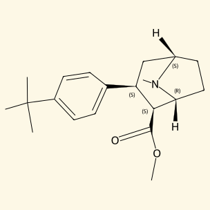 COC(=O)[C@H]1[C@@H](c2ccc(C(C)(C)C)cc2)C[C@@H]2CC[C@H]1N2C